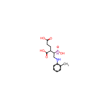 Cc1ccccc1NCC(C(CCC(=O)O)C(=O)O)[PH](=O)O